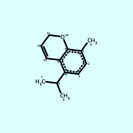 Cc1ccc(C(C)C)c2c1OCC=C2